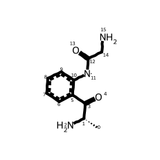 C[C@H](N)C(=O)c1ccccc1[N]C(=O)CN